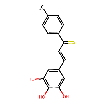 Cc1ccc(C(=S)C=Cc2cc(O)c(O)c(O)c2)cc1